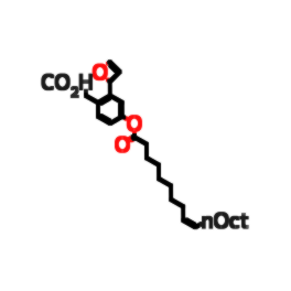 CCCCCCCC/C=C\CCCCCCCC(=O)Oc1ccc(CC(=O)O)c(C2C=CO2)c1